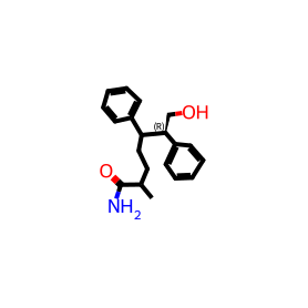 CC(CCC(c1ccccc1)[C@@H](CO)c1ccccc1)C(N)=O